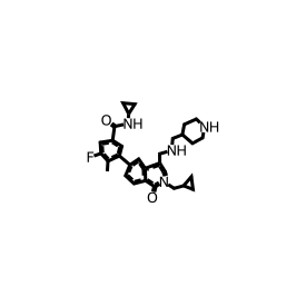 Cc1c(F)cc(C(=O)NC2CC2)cc1-c1ccc2c(=O)n(CC3CC3)cc(CNCC3CCNCC3)c2c1